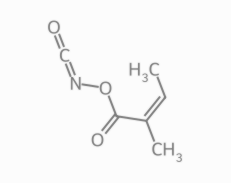 CC=C(C)C(=O)ON=C=O